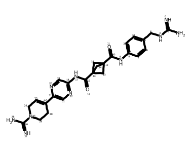 N=C(N)NCc1ccc(NC(=O)C23CC(C(=O)Nc4cnc(C5=CCN(C(=N)N)CC5)cn4)(C2)C3)cc1